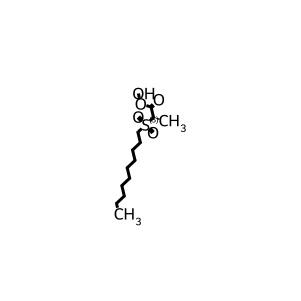 CCCCCCCCCCS(=O)(=O)[C@@H](C)C(=O)OO